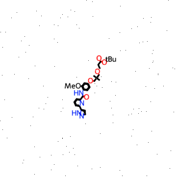 COc1cc(OCC(C)(C)COCCC(=O)OC(C)(C)C)ccc1NC(=O)c1cccc(-c2ccn[nH]2)n1